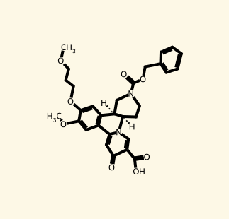 COCCCOc1cc2c(cc1OC)-c1cc(=O)c(C(=O)O)cn1[C@@H]1CCN(C(=O)OCc3ccccc3)C[C@H]21